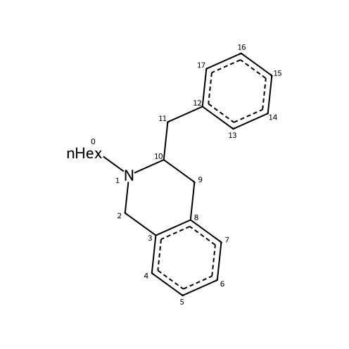 CCCCCCN1Cc2ccccc2CC1Cc1ccccc1